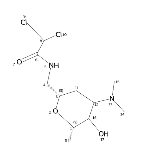 C[C@@H]1O[C@H](CNC(=O)C(Cl)Cl)CC(N(C)C)C1O